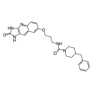 O=C(NCCCOc1ccc2nc3[nH]c(=O)[nH]c3cc2c1)N1CCC(Cc2ccccc2)CC1